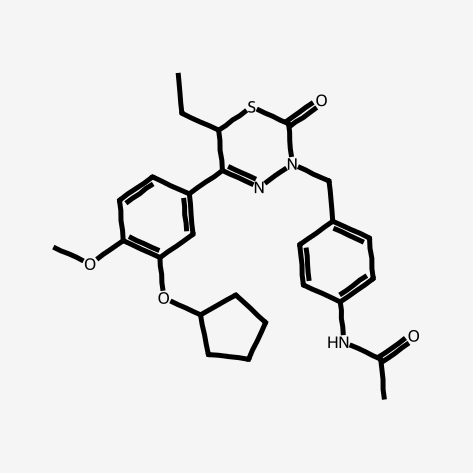 CCC1SC(=O)N(Cc2ccc(NC(C)=O)cc2)N=C1c1ccc(OC)c(OC2CCCC2)c1